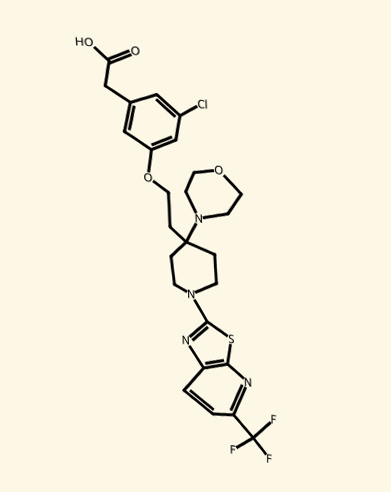 O=C(O)Cc1cc(Cl)cc(OCCC2(N3CCOCC3)CCN(c3nc4ccc(C(F)(F)F)nc4s3)CC2)c1